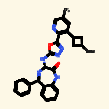 COC1CC(c2cc(C(F)(F)F)cnc2-c2nnc(N[C@H]3N=C(c4ccccc4)c4ccccc4NC3=O)o2)C1